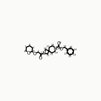 O=C(COC1CCCCO1)N1CC2(CCN(C(=O)OCc3ccccc3)CC2)C1